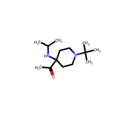 CC(=O)C1(NC(C)C)CCN(C(C)(C)C)CC1